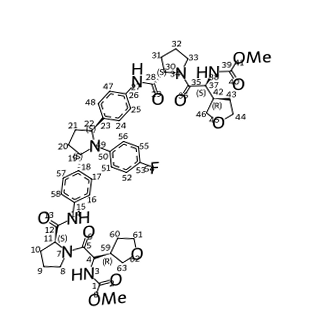 COC(=O)NC(C(=O)N1CCC[C@H]1C(=O)Nc1ccc([C@@H]2CC[C@@H](c3ccc(NC(=O)[C@@H]4CCCN4C(=O)[C@@H](NC(=O)OC)[C@H]4CCOC4)cc3)N2c2ccc(F)cc2)cc1)[C@H]1CCOC1